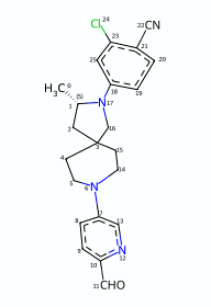 C[C@H]1CC2(CCN(c3ccc(C=O)nc3)CC2)CN1c1ccc(C#N)c(Cl)c1